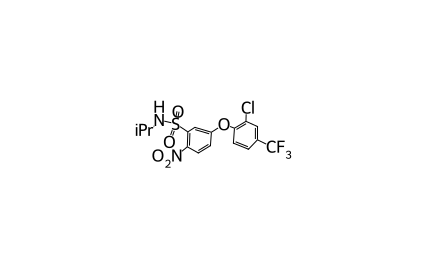 CC(C)NS(=O)(=O)c1cc(Oc2ccc(C(F)(F)F)cc2Cl)ccc1[N+](=O)[O-]